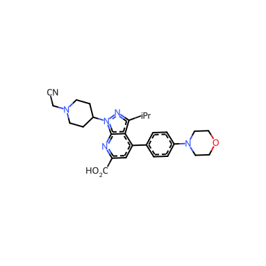 CC(C)c1nn(C2CCN(CC#N)CC2)c2nc(C(=O)O)cc(-c3ccc(N4CCOCC4)cc3)c12